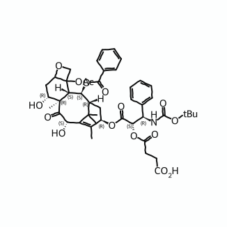 CC(=O)OC12COC1C[C@@H](O)[C@]1(C)C(=O)[C@@H](O)C3=C(C)[C@H](OC(=O)[C@@H](OC(=O)CCC(=O)O)[C@H](NC(=O)OC(C)(C)C)c4ccccc4)C[C@@H]([C@H](OC(=O)c4ccccc4)[C@@H]21)C3(C)C